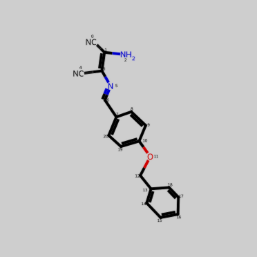 N#C/C(N)=C(\C#N)N=Cc1ccc(OCc2ccccc2)cc1